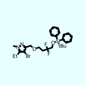 CCc1c(Br)c(COCCC(F)(F)CO[Si](c2ccccc2)(c2ccccc2)C(C)(C)C)nn1C